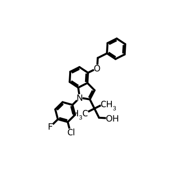 CC(C)(CO)c1cc2c(OCc3ccccc3)cccc2n1-c1ccc(F)c(Cl)c1